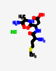 CSCC[C@H](N)C(=O)N[C@@H](CC(=O)O)C(=O)N[C@H](C)C(N)=O.Cl